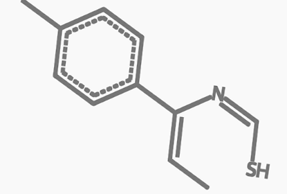 C/C=C(\N=C/S)c1ccc(C)cc1